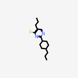 CCCc1cnc(C2CCC(CCC)CC2)nc1F